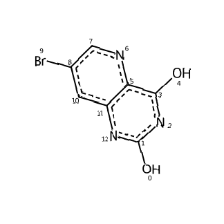 Oc1nc(O)c2ncc(Br)cc2n1